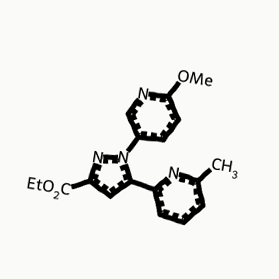 CCOC(=O)c1cc(-c2cccc(C)n2)n(-c2ccc(OC)nc2)n1